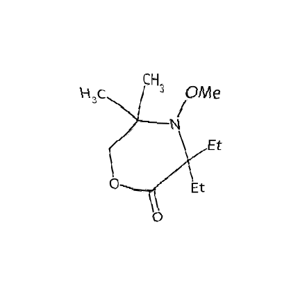 CCC1(CC)C(=O)OCC(C)(C)N1OC